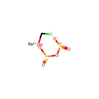 O=[PH]([O-])O[PH](=O)[O-].OCCl.[Ba+2]